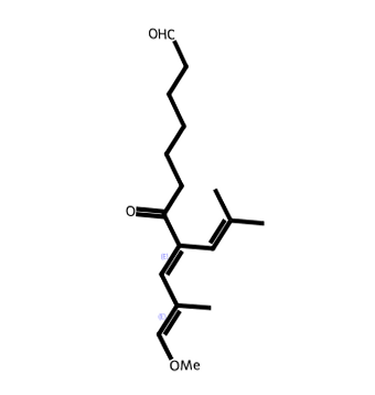 CO/C=C(C)/C=C(\C=C(C)C)C(=O)CCCCCC=O